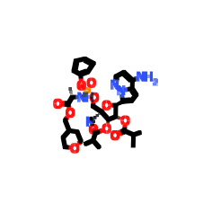 CC(C)C(=O)O[C@H]1[C@H](c2ccc3c(N)ccnn23)O[C@](C#N)(CO[P@](=O)(N[C@@H](C)C(=O)OCC2CCOCC2)Oc2ccccc2)[C@H]1OC(=O)C(C)C